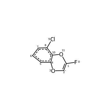 FC1=[C]Oc2cccc(Cl)c2O1